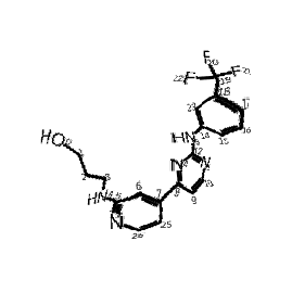 OCCCNc1cc(-c2ccnc(Nc3cccc(C(F)(F)F)c3)n2)ccn1